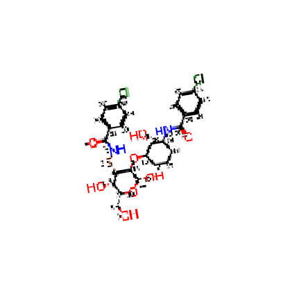 O=C(NS[C@H]1[C@@H](O)[C@@H](CO)O[C@@H](O)[C@@H]1O[C@@H]1CCC[C@H](NC(=O)c2ccc(Cl)cc2)[C@H]1O)c1ccc(Cl)cc1